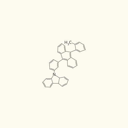 Cc1ccccc1-c1c2ccccc2c(-c2cccc(N3c4ccccc4C4C=CC=CC43)c2)c2ccccc12